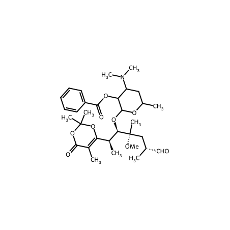 CO[C@](C)(C[C@@H](C)C=O)[C@H](OC1OC(C)CC(N(C)C)C1OC(=O)c1ccccc1)[C@@H](C)C1=C(C)C(=O)OC(C)(C)O1